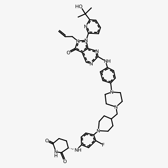 C=CCn1c(=O)c2cnc(Nc3ccc(N4CCN(CC5CCN(c6ccc(N[C@H]7CCC(=O)NC7=O)cc6F)CC5)CC4)cc3)nc2n1-c1cccc(C(C)(C)O)n1